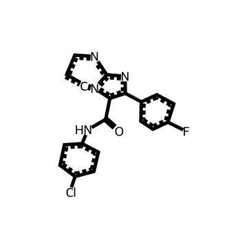 O=C(Nc1ccc(Cl)cc1)c1c(-c2ccc(F)cc2)nc2ncccn12